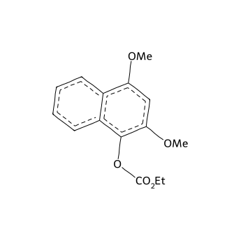 CCOC(=O)Oc1c(OC)cc(OC)c2ccccc12